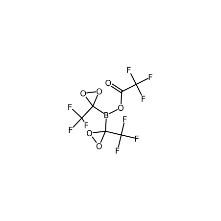 O=C(OB(C1(C(F)(F)F)OO1)C1(C(F)(F)F)OO1)C(F)(F)F